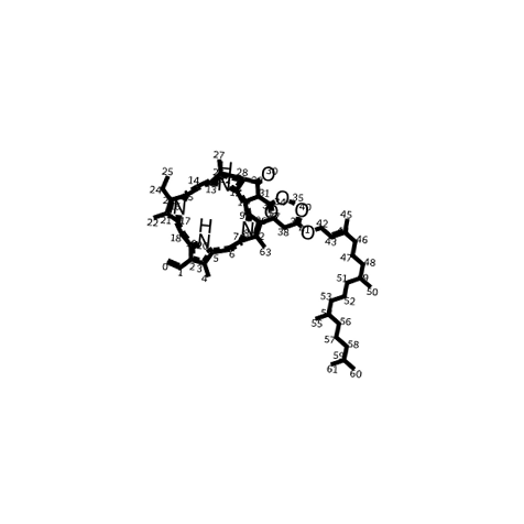 C=Cc1c(C)c2cc3nc(c4c5[nH]c(cc6nc(cc1[nH]2)C(C)=C6CC)c(C)c5C(=O)C4C(=O)OC)C(CCC(=O)OC/C=C(\C)CCCC(C)CCCC(C)CCCC(C)C)=C3C